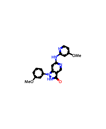 COc1cccc(-n2[nH]c(=O)c3cnc(Nc4cc(OC)ccn4)cc32)c1